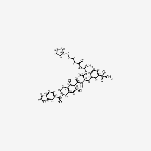 CC(OC(=O)CCCC[C@@H]1CCSS1)OC(=O)C(Cc1cccc(S(C)(=O)=O)c1)NC(=O)c1c(Cl)cc2c(c1Cl)CCN(C(=O)c1ccc3ccoc3c1)C2